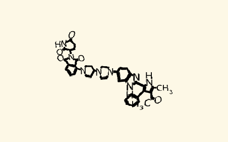 CC(=O)c1c(C)[nH]c(-c2nc3ccc(N4CCN(C5CCN(c6cccc7c6C(=O)N(C6CCC(=O)NC6=O)C7=O)CC5)CC4)cc3[nH]2)c1-c1ccccc1